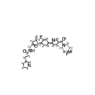 O=C(C=Cc1cccnc1)NCc1ccc(-c2ccc(-c3ccc(C(=O)N4CCC(F)(F)CC4)cn3)cc2C(F)(F)F)o1